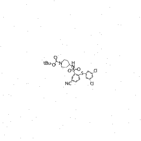 CC(C)(C)OC(=O)N1CCC(NS(=O)(=O)c2cc(C#N)ccc2Sc2cc(Cl)cc(Cl)c2)CC1